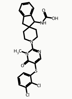 Cn1c(N2CCC3(CC2)Cc2ccccc2C3NC(=O)O)ncc(Sc2cccc(Cl)c2Cl)c1=O